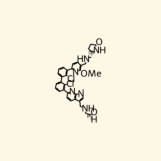 COc1nc(-c2cccc(-c3cccc(-c4ccc5c(CNC[C@@H](C)O)cn(C)c5n4)c3Cl)c2Cl)ccc1CNC[C@@H]1CCC(=O)N1